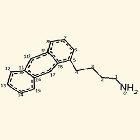 NCCCCc1cccc2cc3ccccc3cc12